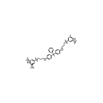 Cc1cc([SiH](C)C)cc([Si](C)(C)CCCOc2ccc(C(C)(c3ccccc3)c3ccc(OCCC[Si](C)(C)c4cc([SiH](C)C)cc([SiH](C)C)c4)cc3)cc2)c1